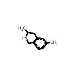 Cc1ccc2c(c1)CC(C)NC2